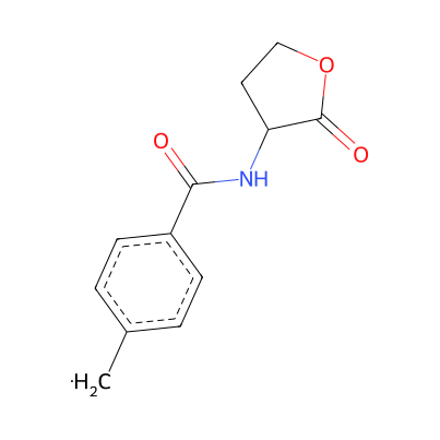 [CH2]c1ccc(C(=O)NC2CCOC2=O)cc1